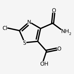 NC(=O)c1nc(Cl)sc1C(=O)O